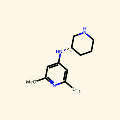 COc1cc(N[C@H]2CCCNC2)cc(C)n1